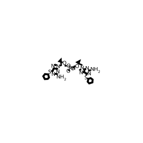 Nc1nc(Sc2ccccc2)c2ncn(CC3(OCO[PH](=O)OCOC4(Cn5cnc6c(Sc7ccccc7)nc(N)nc65)CC4)CC3)c2n1